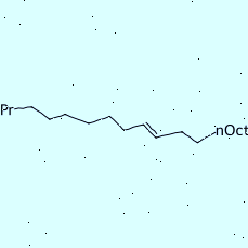 CCCCCCCCCCC=CCCCCCCC(C)C